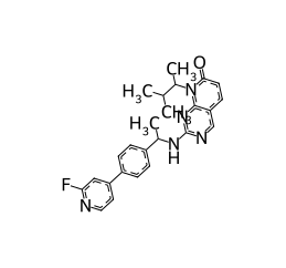 CC(Nc1ncc2ccc(=O)n(C(C)C(C)C)c2n1)c1ccc(-c2ccnc(F)c2)cc1